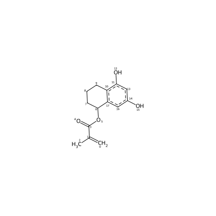 C=C(C)C(=O)OC1CCCc2c(O)cc(O)cc21